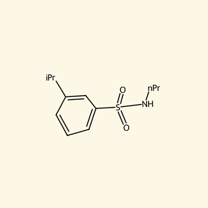 CCCNS(=O)(=O)c1cccc(C(C)C)c1